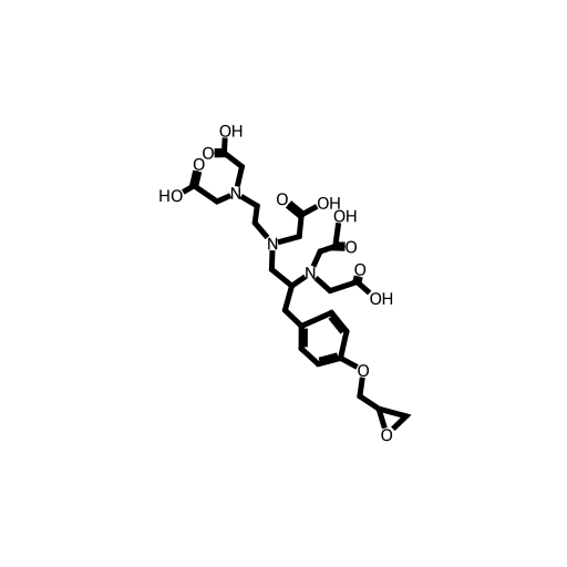 O=C(O)CN(CCN(CC(=O)O)CC(Cc1ccc(OCC2CO2)cc1)N(CC(=O)O)CC(=O)O)CC(=O)O